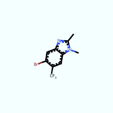 Cc1nc2cc(Br)c(C(F)(F)F)cc2n1C